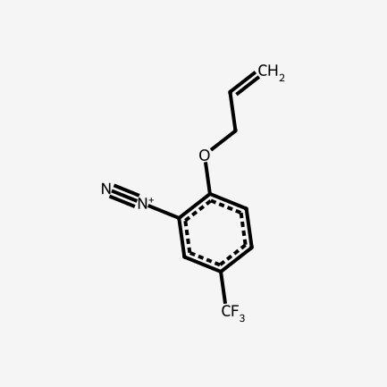 C=CCOc1ccc(C(F)(F)F)cc1[N+]#N